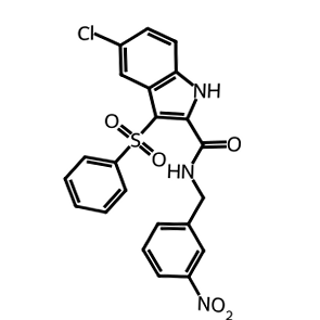 O=C(NCc1cccc([N+](=O)[O-])c1)c1[nH]c2ccc(Cl)cc2c1S(=O)(=O)c1ccccc1